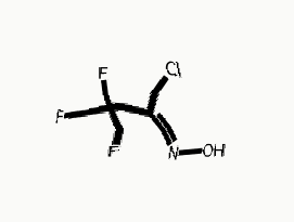 ON=C(Cl)C(F)(F)F